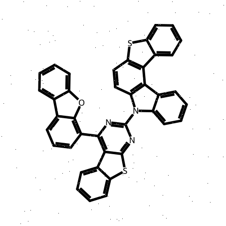 c1ccc2c(c1)oc1c(-c3nc(-n4c5ccccc5c5c6c(ccc54)sc4ccccc46)nc4sc5ccccc5c34)cccc12